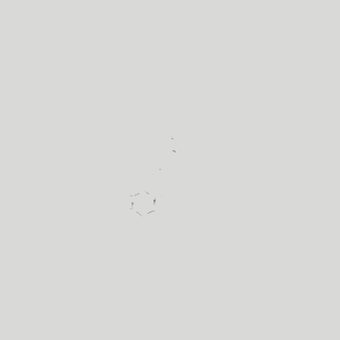 [CH2]c1ccc(OCCCCCCC(C)C)cc1